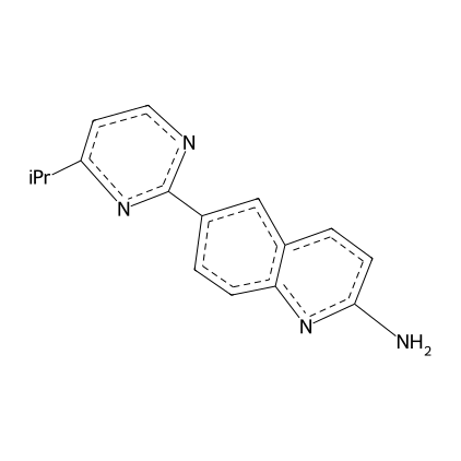 CC(C)c1ccnc(-c2ccc3nc(N)ccc3c2)n1